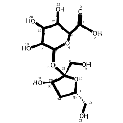 O=C(O)C1OC(O[C@]2(CO)O[C@H](CO)C[C@H]2O)C(O)C(O)C1O